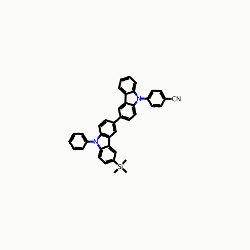 C[Si](C)(C)c1ccc2c(c1)c1cc(-c3ccc4c(c3)c3ccccc3n4-c3ccc(C#N)cc3)ccc1n2-c1ccccc1